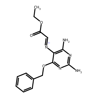 CCOC(=O)/C=N/c1c(N)nc(N)nc1OCc1ccccc1